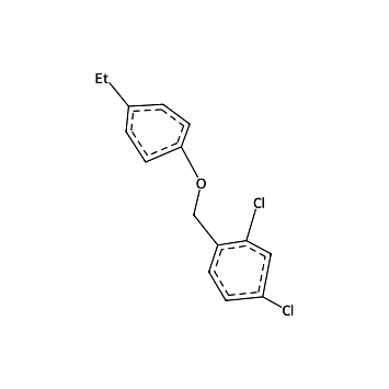 CCc1ccc(OCc2ccc(Cl)cc2Cl)cc1